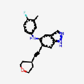 Cc1cc(Nc2cc3cn[nH]c3cc2C#CC2CCOCC2)ccc1F